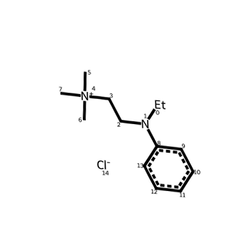 CCN(CC[N+](C)(C)C)c1ccccc1.[Cl-]